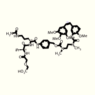 COc1ccc(/C=C\c2cc(OC)c(OC)c(OC)c2)cc1OC(=O)N(C)CCN(C)C(=O)OCc1ccc(NC(=O)[C@H](CCCNC(N)=O)NC(=O)[C@@H](NC(=O)COCC(=O)O)C(C)C)cc1